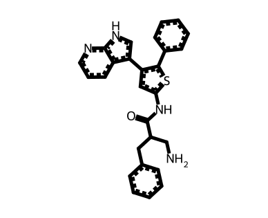 NCC(Cc1ccccc1)C(=O)Nc1cc(-c2c[nH]c3ncccc23)c(-c2ccccc2)s1